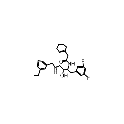 CCc1cccc(CNC[C@H](O)[C@H](Cc2cc(F)cc(F)c2)NC(=O)CC2=CCCCC2)c1